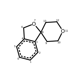 c1ccc2c(c1)COC21CCOCC1